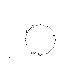 C1=CCCN=NCCN=NCC1